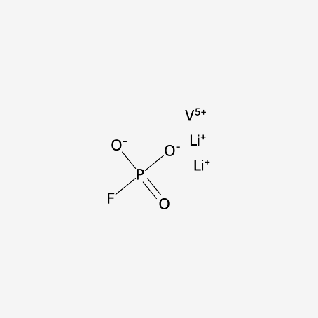 O=P([O-])([O-])F.[Li+].[Li+].[V+5]